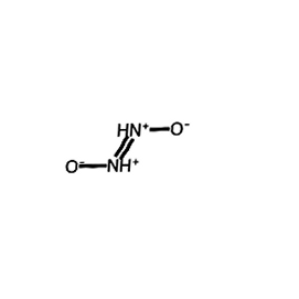 [O-][NH+]=[NH+][O-]